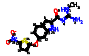 CNC(N)=NC(=O)c1cc2ccc(Oc3ccc([N+](=O)[O-])s3)cc2[nH]1